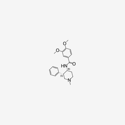 COc1ccc(C(=O)N[C@@H]2CCN(C)C[C@@H]2c2ccccc2)cc1OC